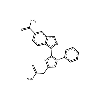 CNC(=O)Cc1cn(-c2ccccc2)c(-n2ncc3cc(C(N)=O)ccc32)n1